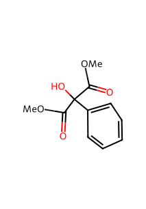 COC(=O)C(O)(C(=O)OC)c1ccccc1